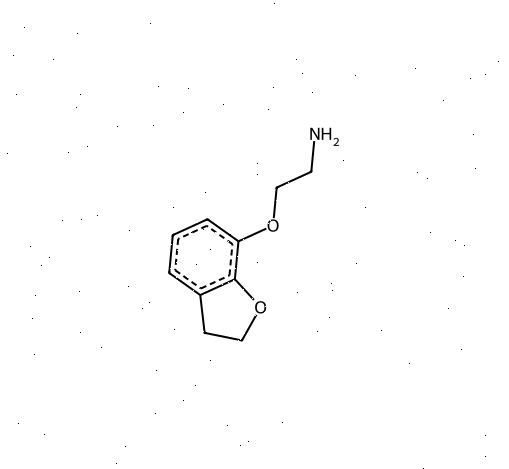 NCCOc1cccc2c1OCC2